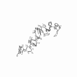 Cn1cc(-c2cccc(-c3ncc(-c4cnn(C5CCN(C(=O)C6CCCCO6)CC5)c4)cn3)c2)cn1